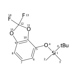 CC(C)(C)[Si](C)(C)Oc1cccc2c1OC(F)(F)O2